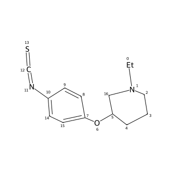 CCN1CCCC(Oc2ccc(N=C=S)cc2)C1